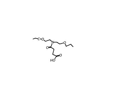 CCCOCCN(CCOCCC)C(=O)CCC(=O)O